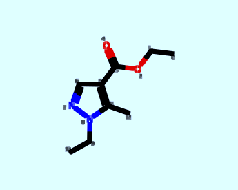 CCOC(=O)c1cnn(CC)c1C